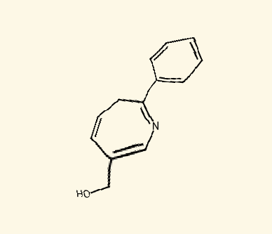 OCC1=CN=C(c2ccccc2)CC=C1